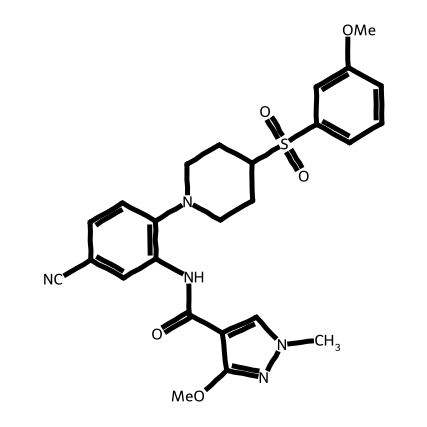 COc1cccc(S(=O)(=O)C2CCN(c3ccc(C#N)cc3NC(=O)c3cn(C)nc3OC)CC2)c1